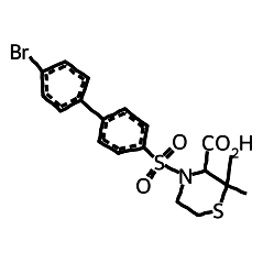 CC1(C)SCCN(S(=O)(=O)c2ccc(-c3ccc(Br)cc3)cc2)C1C(=O)O